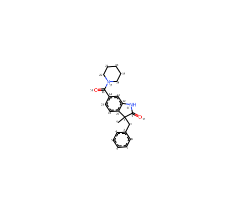 CC1(Cc2ccccc2)C(=O)Nc2cc(C(=O)N3CCCCC3)ccc21